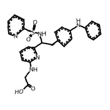 O=C(O)CNc1cccc(C(Cc2ccc(Nc3ccccc3)cc2)NS(=O)(=O)c2ccccn2)n1